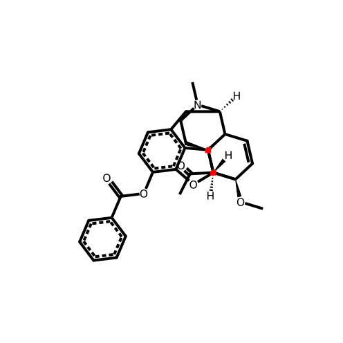 CO[C@]12C=C[C@@]3(C[C@@H]1C(C)=O)[C@H]1Cc4ccc(OC(=O)c5ccccc5)c5c4[C@@]3(CCN1C)[C@H]2O5